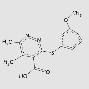 COc1cccc(Sc2nnc(C)c(C)c2C(=O)O)c1